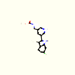 CC(C)OC(=O)NCc1cncc(-c2c(C#N)c3ccc(Cl)cc3n2C)c1